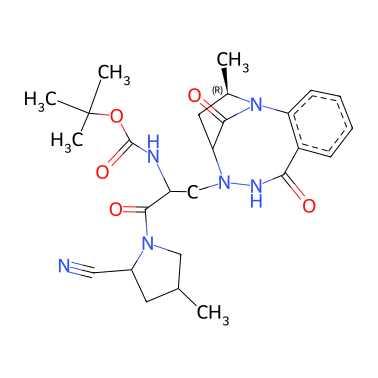 CC1CC(C#N)N(C(=O)C(CN2NC(=O)c3ccccc3N3C(=O)C2C[C@H]3C)NC(=O)OC(C)(C)C)C1